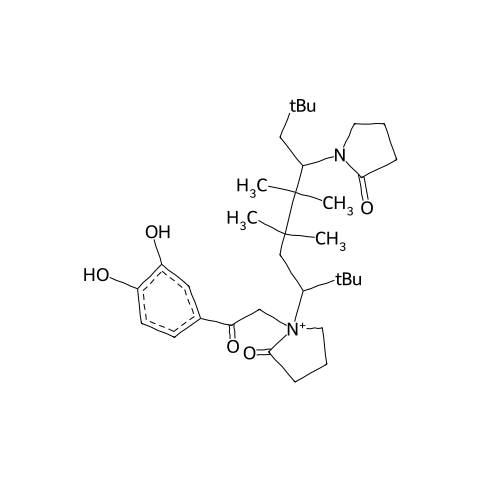 CC(C)(C)CC(N1CCCC1=O)C(C)(C)C(C)(C)CC(C(C)(C)C)[N+]1(CC(=O)c2ccc(O)c(O)c2)CCCC1=O